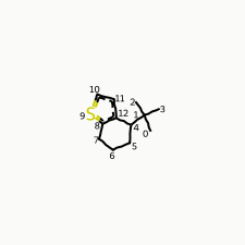 CC(C)(C)C1CCCc2sccc21